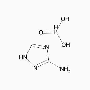 Nc1nc[nH]n1.O=[PH](O)O